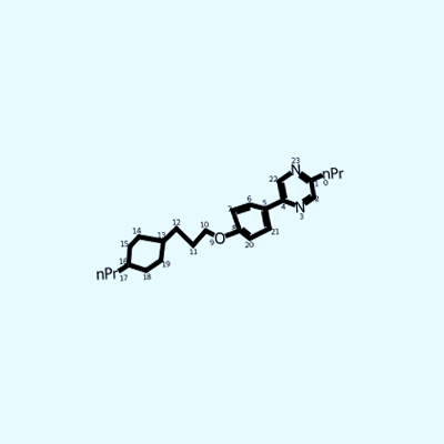 CCCc1cnc(-c2ccc(OCCCC3CCC(CCC)CC3)cc2)cn1